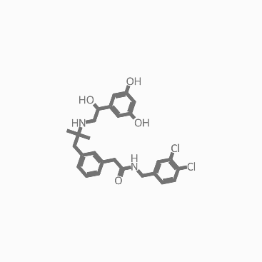 CC(C)(Cc1cccc(CC(=O)NCc2ccc(Cl)c(Cl)c2)c1)NCC(O)c1cc(O)cc(O)c1